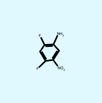 Nc1cc([N+](=O)[O-])c(F)cc1F